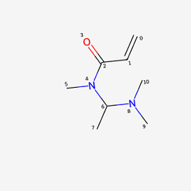 C=CC(=O)N(C)C(C)N(C)C